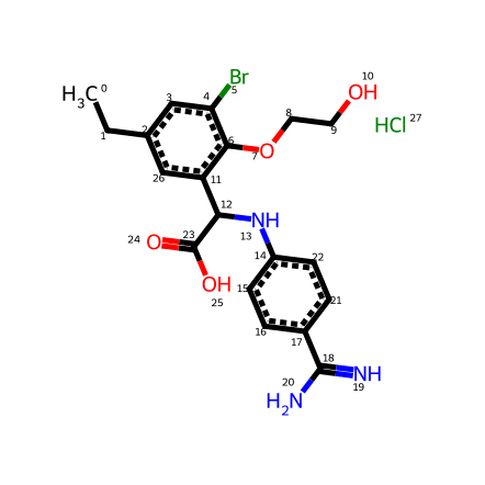 CCc1cc(Br)c(OCCO)c(C(Nc2ccc(C(=N)N)cc2)C(=O)O)c1.Cl